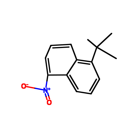 CC(C)(C)c1cccc2c([N+](=O)[O-])cccc12